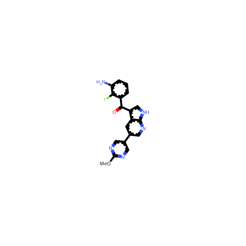 COc1ncc(-c2cnc3[nH]cc(C(=O)c4cccc(N)c4F)c3c2)cn1